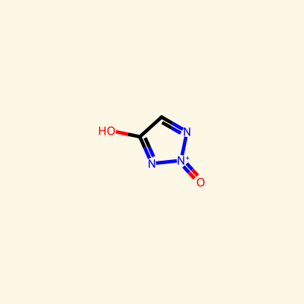 O=[N+]1N=CC(O)=N1